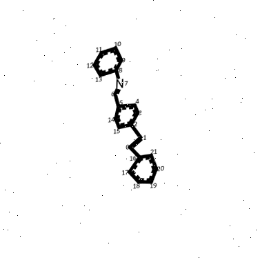 C(=Cc1ccc(C=Nc2ccccc2)cc1)c1ccccc1